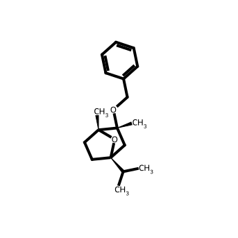 CC(C)[C@@]12CC[C@@](C)(O1)[C@](C)(OCc1ccccc1)C2